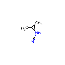 CC1C(C)C1NC#N